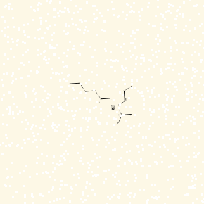 CCCCCC[P@@](=O)(C(C)C)[C@@H](C)CC